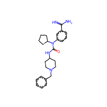 N=C(N)c1cccc(N(C(=O)NC2CCN(Cc3ccccc3)CC2)C2CCCC2)c1